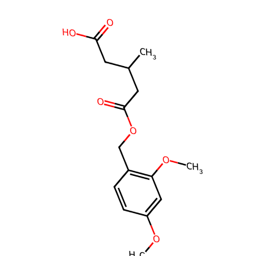 COc1ccc(COC(=O)CC(C)CC(=O)O)c(OC)c1